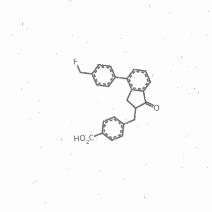 O=C(O)c1ccc(CC2Cc3c(cccc3-c3ccc(CF)cc3)C2=O)cc1